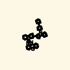 c1ccc(-c2ccc(-n3c4ccccc4c4ccc(-c5ccc6c7ccccc7n(-c7nc8c9c(cccc9n7)Oc7ccccc7-8)c6c5)cc43)cc2)cc1